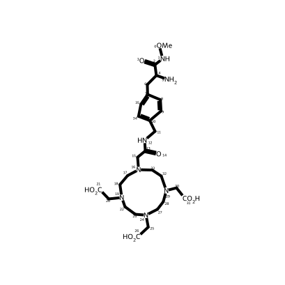 CONC(=O)C(N)Cc1ccc(CNC(=O)CN2CCN(CC(=O)O)CCN(CC(=O)O)CCN(CC(=O)O)CC2)cc1